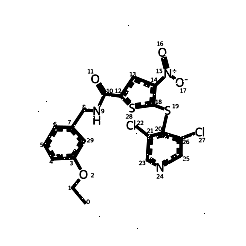 CCOc1cccc(CNC(=O)c2cc([N+](=O)[O-])c(Sc3c(Cl)cncc3Cl)s2)c1